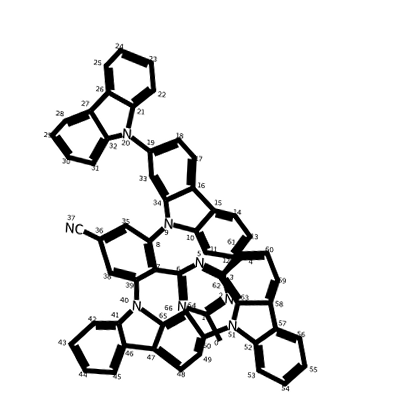 Cc1nc(C)nc(-c2c(-n3c4ccccc4c4ccc(-n5c6ccccc6c6ccccc65)cc43)cc(C#N)cc2-n2c3ccccc3c3ccc(-n4c5ccccc5c5ccccc54)cc32)n1